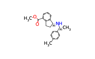 COC(=O)c1cccc2c1CC[C@H]2N[C@H](C)c1ccc(C)cc1